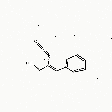 CCC(=Cc1ccccc1)N=C=O